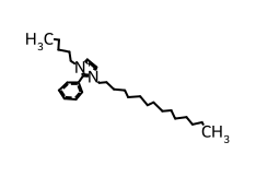 CCCCCCCCCCCCCCCn1cc[n+](CCCCC)c1-c1ccccc1